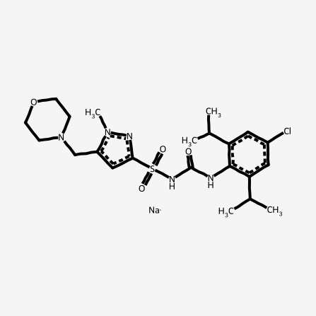 CC(C)c1cc(Cl)cc(C(C)C)c1NC(=O)NS(=O)(=O)c1cc(CN2CCOCC2)n(C)n1.[Na]